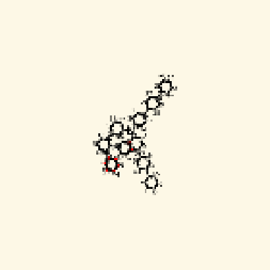 c1ccc(-c2ccc(-c3ccc(N(c4ccc(-c5ccc(-c6ccccc6)cc5)cc4)c4cccc(-c5cccc(-c6ccccc6)c5-c5ccccc5-c5ccccc5)c4)cc3)cc2)cc1